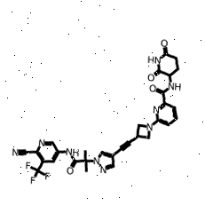 CC(C)(C(=O)Nc1cnc(C#N)c(C(F)(F)F)c1)n1cc(C#CC2CN(c3cccc(C(=O)NC4CCC(=O)NC4=O)n3)C2)cn1